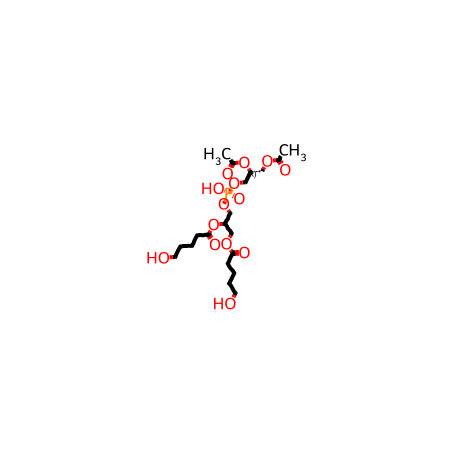 CC(=O)OC[C@H](COP(=O)(O)OCC(COC(=O)CCCCO)OC(=O)CCCCO)OC(C)=O